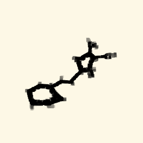 Cc1nc(CCc2ccccc2)[nH]c1Cl